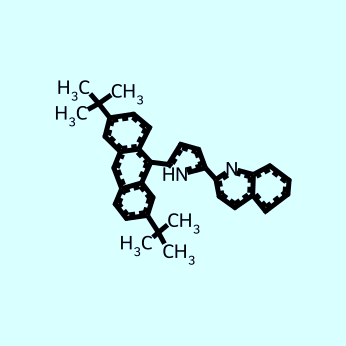 CC(C)(C)c1ccc2c(-c3ccc(-c4ccc5ccccc5n4)[nH]3)c3cc(C(C)(C)C)ccc3cc2c1